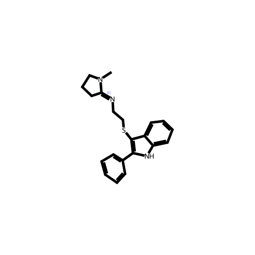 CN1CCC/C1=N\CCSc1c(-c2ccccc2)[nH]c2ccccc12